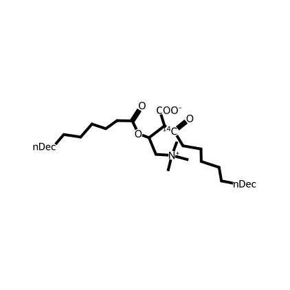 CCCCCCCCCCCCCCCC(=O)OC(C[N+](C)(C)C)C(C(=O)[O-])[14C](=O)CCCCCCCCCCCCCCC